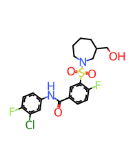 O=C(Nc1ccc(F)c(Cl)c1)c1ccc(F)c(S(=O)(=O)N2CCCCC(CO)C2)c1